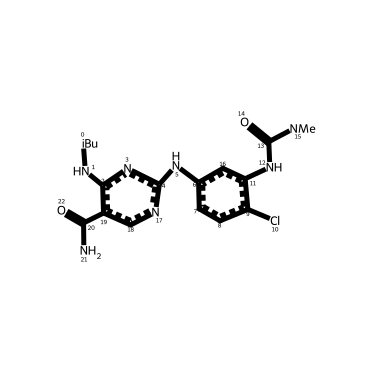 CCC(C)Nc1nc(Nc2ccc(Cl)c(NC(=O)NC)c2)ncc1C(N)=O